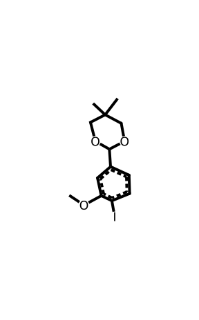 COc1cc(C2OCC(C)(C)CO2)ccc1I